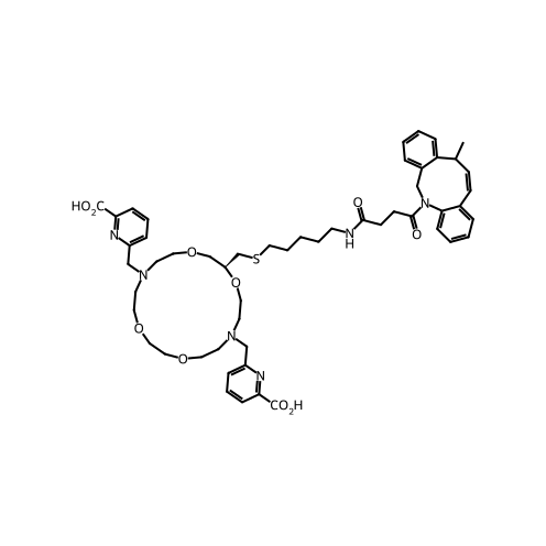 CC1/C=C\c2ccccc2N(C(=O)CCC(=O)NCCCCCSC[C@@H]2COCCN(Cc3cccc(C(=O)O)n3)CCOCCOCCN(Cc3cccc(C(=O)O)n3)CCO2)Cc2ccccc21